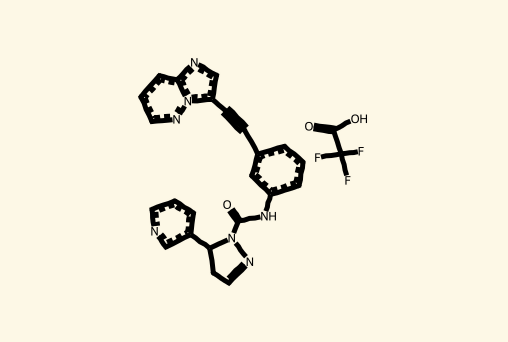 O=C(Nc1cccc(C#Cc2cnc3cccnn23)c1)N1N=CCC1c1cccnc1.O=C(O)C(F)(F)F